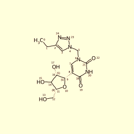 CCc1cn(Cn2cc([C@@H]3O[C@H](CO)C(O)[C@@H]3O)c(=O)[nH]c2=O)nn1